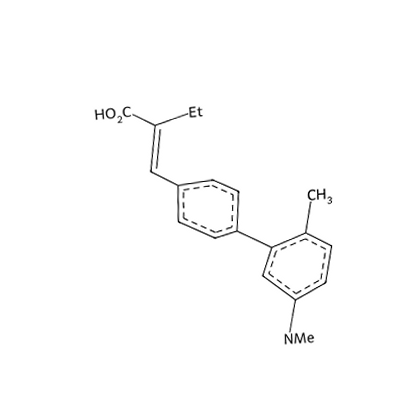 CC/C(=C\c1ccc(-c2cc(NC)ccc2C)cc1)C(=O)O